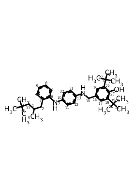 CC(Cc1ccccc1Nc1ccc(NCc2cc(C(C)(C)C)c(O)c(C(C)(C)C)c2)cc1)CC(C)(C)C